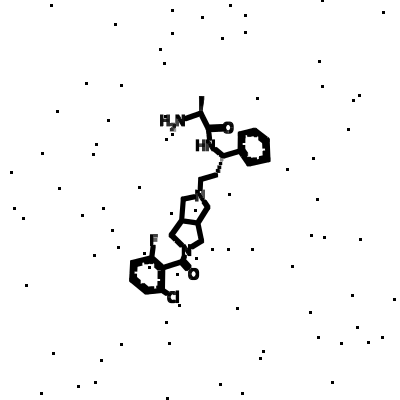 C[C@H](N)C(=O)N[C@@H](CCN1CC2CN(C(=O)c3c(F)cccc3Cl)CC2C1)c1ccccc1